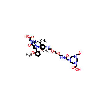 COc1cccc(OC)c1-c1cc(C(=O)NCC(=O)O)nn1-c1ccc(NCCOCCOCCNC(=O)CN2CCN(CC=O)CCN(CC(=O)O)CC2)cc1C(C)C